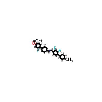 CCCCCCCCOc1ccc(-c2ccc(/C=C/c3ccc(C4CCC(C)CC4)c(F)c3F)cc2)c(F)c1